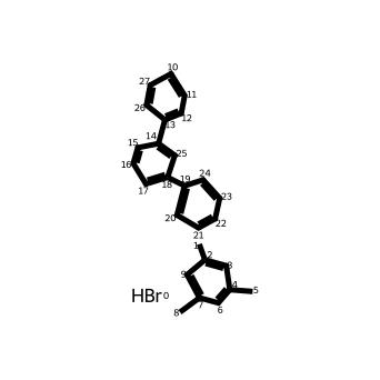 Br.Cc1cc(C)cc(C)c1.c1ccc(-c2cccc(-c3ccccc3)c2)cc1